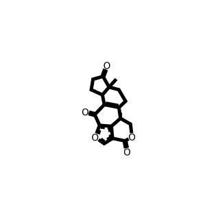 CC12COC(=O)c3coc(c31)C(=O)C1=C2CCC2(C)C(=O)CCC12